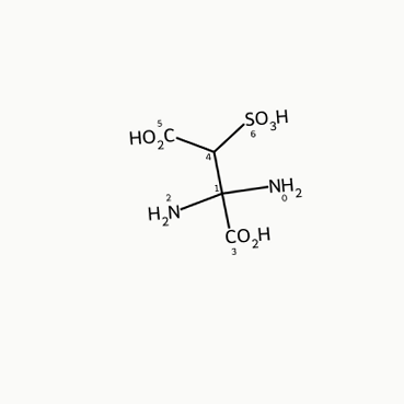 NC(N)(C(=O)O)C(C(=O)O)S(=O)(=O)O